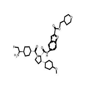 COC1CCC([C@@H]2CCN(C(=O)[C@H]3CC[C@H](C(N)CF)CC3)[C@@H]2C(=O)Nc2ccc3oc(C(=O)OCC4CCOCC4)cc3c2)CC1